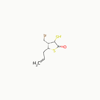 C=CCC1SC(=O)C(S)C1CBr